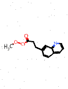 COOC(=O)CCc1ccc2cccnc2c1